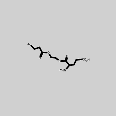 CNC(CCC(=O)O)C(=O)OCCOC(=O)CCC(C)=O